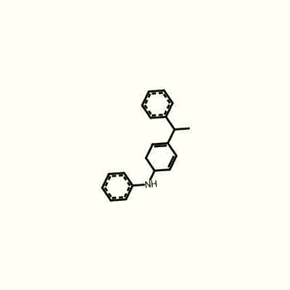 CC(C1=CCC(Nc2ccccc2)C=C1)c1ccccc1